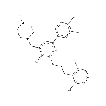 Cc1cc(-c2cc(CN3CCN(C)CC3)c(=O)n(CCCc3c(Cl)cccc3Cl)n2)ccc1F